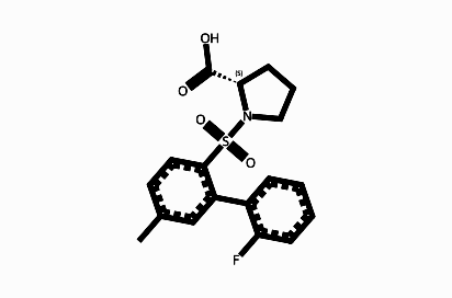 Cc1ccc(S(=O)(=O)N2CCC[C@H]2C(=O)O)c(-c2ccccc2F)c1